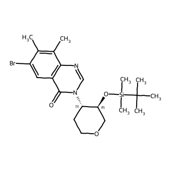 Cc1c(Br)cc2c(=O)n([C@H]3CCOC[C@@H]3O[Si](C)(C)C(C)(C)C)cnc2c1C